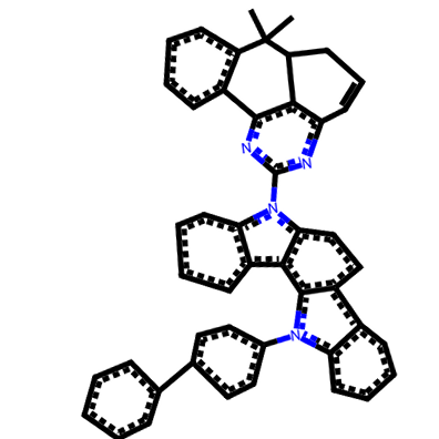 CC1(C)c2ccccc2-c2nc(-n3c4ccccc4c4c3ccc3c5ccccc5n(-c5ccc(-c6ccccc6)cc5)c34)nc3c2C1CC=C3